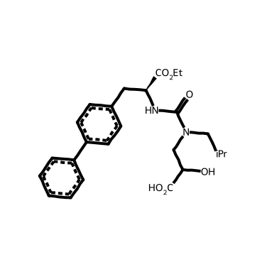 CCOC(=O)[C@H](Cc1ccc(-c2ccccc2)cc1)NC(=O)N(CC(C)C)CC(O)C(=O)O